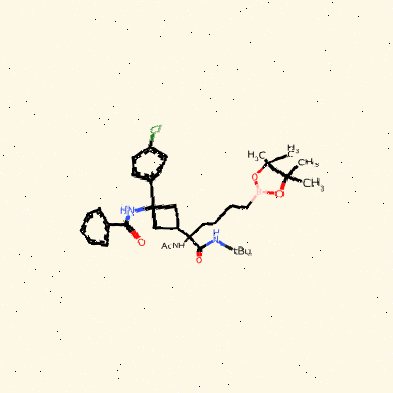 CC(=O)NC(CCCCB1OC(C)(C)C(C)(C)O1)(C(=O)NC(C)(C)C)C1CC(NC(=O)c2ccccc2)(c2ccc(Cl)cc2)C1